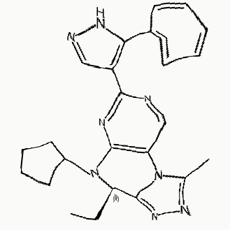 CC[C@@H]1c2nnc(C)n2-c2cnc(-c3cn[nH]c3-c3ccccc3)nc2N1C1CCCC1